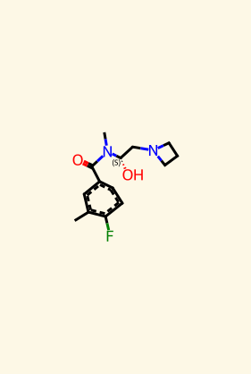 Cc1cc(C(=O)N(C)[C@@H](O)CN2CCC2)ccc1F